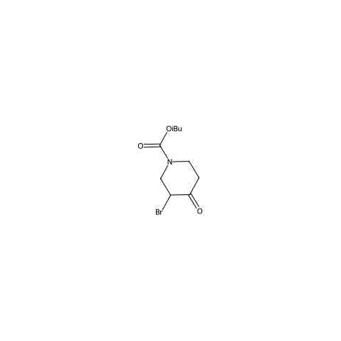 CC(C)COC(=O)N1CCC(=O)C(Br)C1